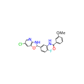 COc1cccc(C(=O)Nc2cc(C3Nc4ncc(Cl)cc4O3)ccc2F)c1